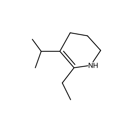 CCC1=C(C(C)C)CCCN1